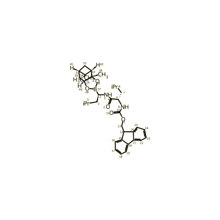 CC(C)C[C@H](NC(=O)[C@H](CC(C)C)NC(=O)OCC1c2ccccc2-c2ccccc21)B1O[C@@H]2C[C@@H]3C[C@@H](C3(C)C)[C@]2(C)O1